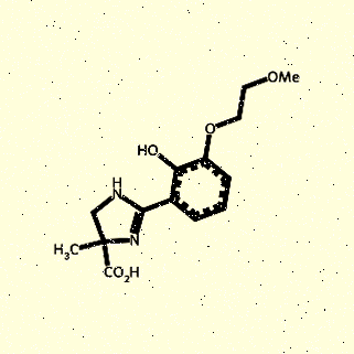 COCCOc1cccc(C2=NC(C)(C(=O)O)CN2)c1O